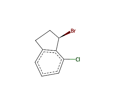 Clc1cccc2c1[C@H](Br)CC2